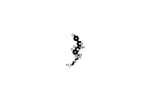 NCCSCCS(=O)(=O)Nc1ccc(F)c(C(=O)c2c[nH]c3ncc(-c4ccc(Cl)cc4)cc23)c1F